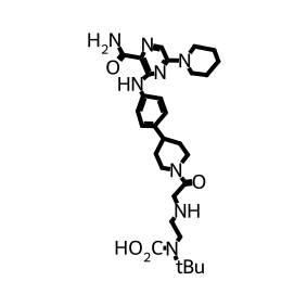 CC(C)(C)N(CCNCC(=O)N1CCC(c2ccc(Nc3nc(N4CCCCC4)cnc3C(N)=O)cc2)CC1)C(=O)O